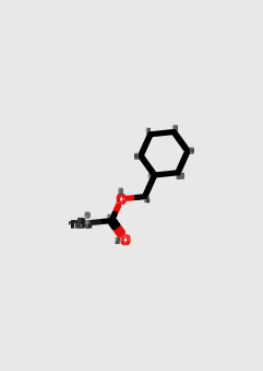 CCC[CH]C(=O)OCC1CCCCC1